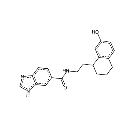 O=C(NCCC1CCCc2ccc(O)cc21)c1ccc2nc[nH]c2c1